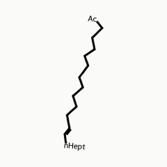 CCCCCCC/C=C/CCCCCCCCCCC(C)=O